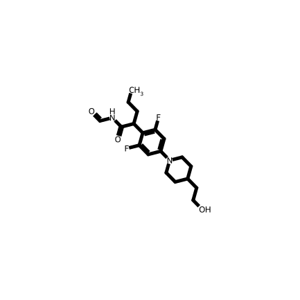 CCCC(C(=O)NC=O)c1c(F)cc(N2CCC(CCO)CC2)cc1F